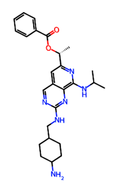 CC(C)Nc1nc([C@@H](C)OC(=O)c2ccccc2)cc2cnc(NCC3CCC(N)CC3)nc12